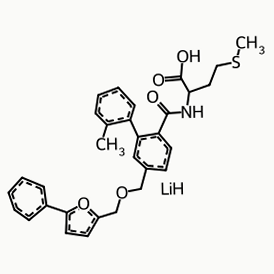 CSCCC(NC(=O)c1ccc(COCc2ccc(-c3ccccc3)o2)cc1-c1ccccc1C)C(=O)O.[LiH]